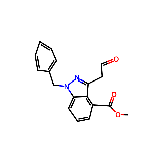 COC(=O)c1cccc2c1c(CC=O)nn2Cc1ccccc1